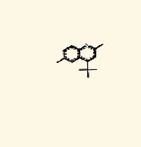 Cc1ccc2nc(C)cc(C(C)(C)C)c2c1